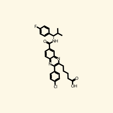 CC(C)[C@H](NC(=O)c1ccc2nc(-c3ccc(Cl)cc3)c(CCCCC(=O)O)nc2c1)c1ccc(F)cc1